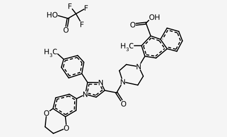 Cc1ccc(-c2nc(C(=O)N3CCN(c4cc5ccccc5c(C(=O)O)c4C)CC3)cn2-c2ccc3c(c2)OCCO3)cc1.O=C(O)C(F)(F)F